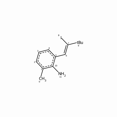 Cc1cccc(/C=C(\I)C(C)(C)C)c1N